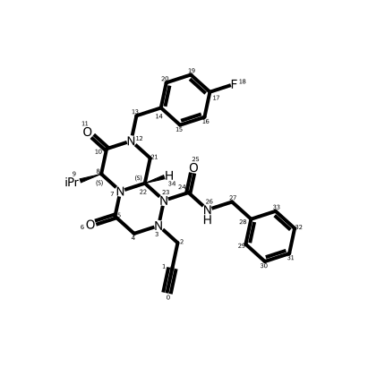 C#CCN1CC(=O)N2[C@@H](C(C)C)C(=O)N(Cc3ccc(F)cc3)C[C@@H]2N1C(=O)NCc1ccccc1